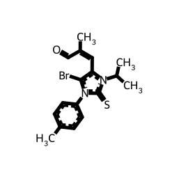 CC(C=O)=Cc1c(Br)n(-c2ccc(C)cc2)c(=S)n1C(C)C